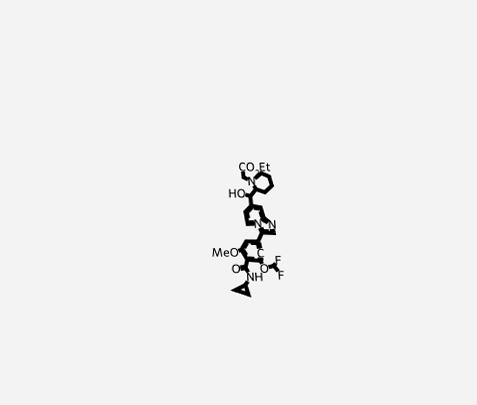 CCOC(=O)CN1CCCCC1C(O)c1ccn2c(-c3cc(OC)c(C(=O)NC4CC4)c(OC(F)F)c3)cnc2c1